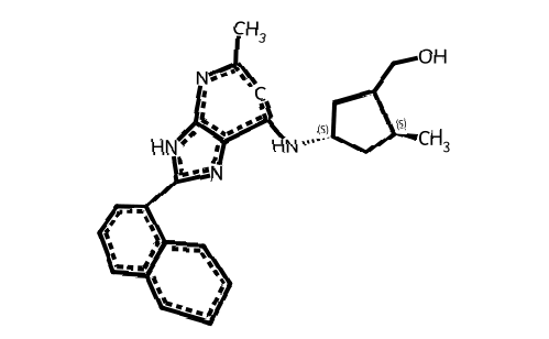 Cc1cc(N[C@@H]2CC(CO)[C@@H](C)C2)c2nc(-c3cccc4ccccc34)[nH]c2n1